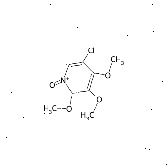 COC1=C(OC)C(OC)[N+](=O)[C]=C1Cl